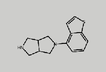 c1cc(N2CC3CNCC3C2)c2ccsc2c1